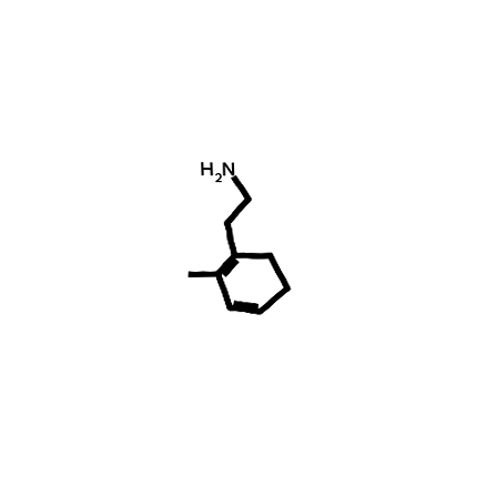 CC1=C(CCN)CCC=C1